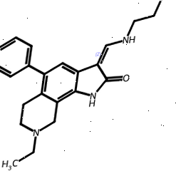 CCN1CCc2c(-c3ccccc3)cc3c(c2C1)NC(=O)/C3=C\NCCO